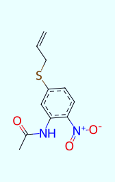 C=CCSc1ccc([N+](=O)[O-])c(NC(C)=O)c1